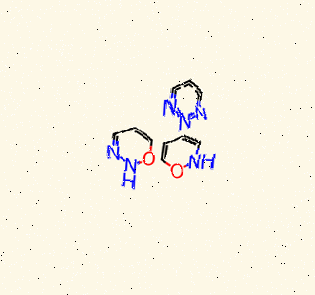 C1=CNOC=C1.C1=CONN=C1.c1cnnnc1